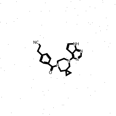 N#CCCc1ccc(C(=O)N2CCN(c3ncnc4[nH]ccc34)CC3(CC3)C2)cc1